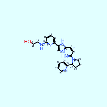 N=C(/C=C\c1ncc(-c2cccc(NCCO)n2)[nH]1)N1CCCC1c1ccccn1